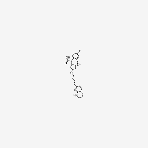 O=C(O)[C@@H](c1ccc(F)cc1C1CC1)N1CC[C@@H](OCCCCc2ccc3c(n2)NCCC3)C1